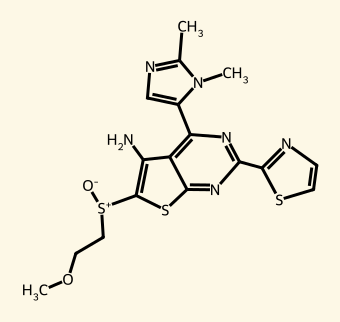 COCC[S+]([O-])c1sc2nc(-c3nccs3)nc(-c3cnc(C)n3C)c2c1N